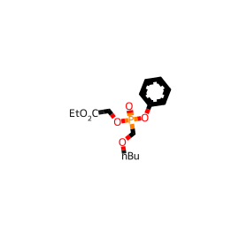 CCCCOCP(=O)(OCC(=O)OCC)Oc1ccccc1